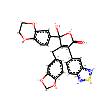 O=C1OC(O)(c2ccc3c(c2)OCCO3)C(Cc2ccc3c(c2)OCO3)=C1c1ccc2nsnc2c1